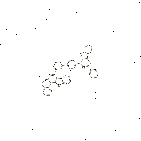 C1=CC2Sc3c(-c4ccc(-c5cccc(-c6nc7ccc8ccccc8c7c7sc8ccccc8c67)c5)cc4)nc(-c4ccccc4)nc3C2C=C1